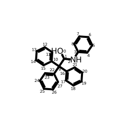 OC(Nc1ccccc1)C(c1ccccc1)(c1ccccc1)c1ccccc1